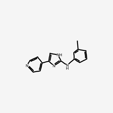 Cc1cccc(Nc2nc(-c3ccncc3)c[nH]2)c1